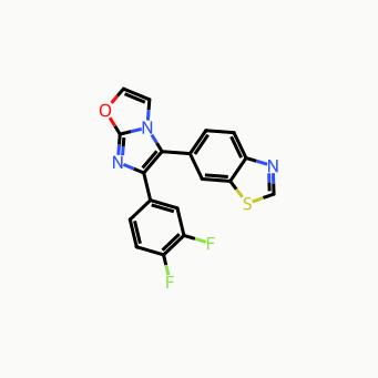 Fc1ccc(-c2nc3occn3c2-c2ccc3ncsc3c2)cc1F